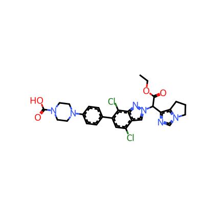 CCOC(=O)C(c1ncn2c1CCC2)n1cc2c(Cl)cc(-c3ccc(N4CCN(C(=O)O)CC4)cc3)c(Cl)c2n1